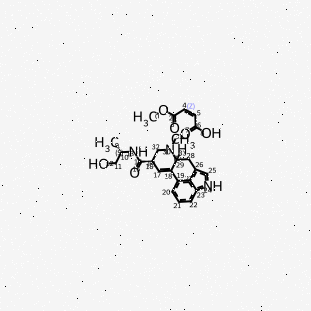 COC(=O)/C=C\C(=O)O.C[C@@H](CO)NC(=O)[C@@H]1C=C2c3cccc4[nH]cc(c34)C[C@H]2N(C)C1